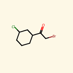 O=C(CBr)C1CCCC(Cl)C1